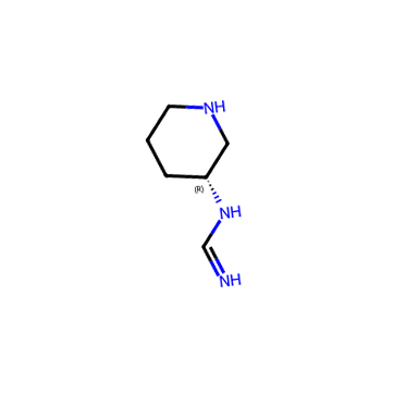 N=CN[C@@H]1CCCNC1